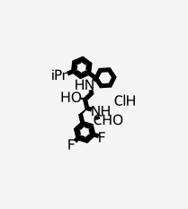 CC(C)c1cccc(C2(NC[C@H](O)[C@H](Cc3cc(F)cc(F)c3)NC=O)CCCCC2)c1.Cl